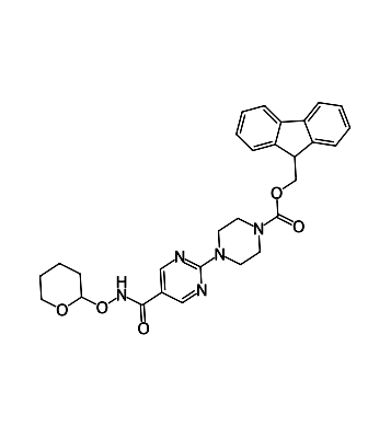 O=C(NOC1CCCCO1)c1cnc(N2CCN(C(=O)OCC3c4ccccc4-c4ccccc43)CC2)nc1